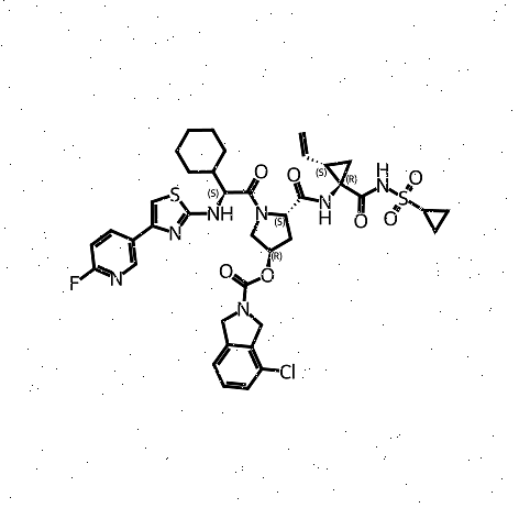 C=C[C@@H]1C[C@]1(NC(=O)[C@@H]1C[C@@H](OC(=O)N2Cc3cccc(Cl)c3C2)CN1C(=O)[C@@H](Nc1nc(-c2ccc(F)nc2)cs1)C1CCCCC1)C(=O)NS(=O)(=O)C1CC1